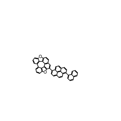 c1ccc2c(-c3ccc4ccc5c(-c6cc7ccc8oc9cccc%10c9c8c7c7c6oc6cccc-%10c67)ccc6ccc3c4c65)cccc2c1